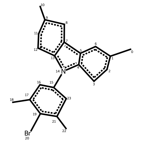 Cc1ccc2c(c1)c1cc(C)ccc1n2-c1cc(C)c(Br)c(C)c1